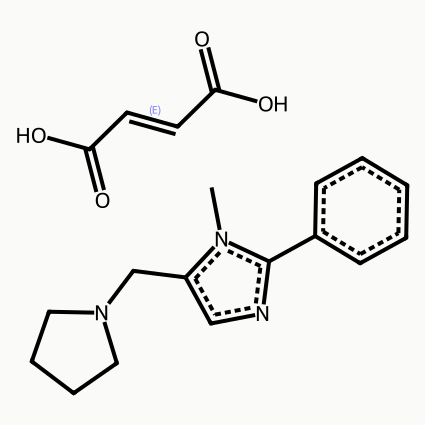 Cn1c(CN2CCCC2)cnc1-c1ccccc1.O=C(O)/C=C/C(=O)O